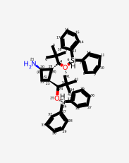 CC(C)(C)C(O[SiH](c1ccccc1)c1ccccc1)[C@H]1[C@H](N)C[C@@H]1C(O[SiH](c1ccccc1)c1ccccc1)C(C)(C)C